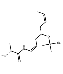 C/C=C\C[C@@H](C/C=C\NC(=O)[C@@H](C)C(C)(C)C)O[Si](C)(C)C(C)(C)C